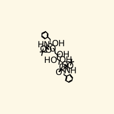 CC(C)(C)OC(=O)N[C@@H](Cc1ccccc1)C(=O)OC[C@@H](O)[C@@H](O)[C@H](O)CCOC(O)[C@H](Cc1ccccc1)NC(=O)OC(C)(C)C